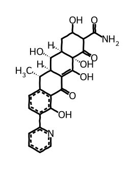 C[C@H]1c2ccc(-c3ccccn3)c(O)c2C(=O)C2=C(O)[C@]3(O)C(=O)C(C(N)=O)C(O)C[C@@H]3[C@@H](O)[C@@H]21